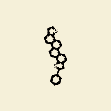 c1ccc(-c2cc3ccc4c5ccc6c(ccc7ccsc76)c5ccc4c3s2)cc1